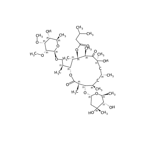 CO[C@@H]1[C@H](O)[C@@H](C)O[C@@H](OC[C@H](C)[C@H]2OC(=O)[C@H](C)[C@@H](O[C@H]3C[C@@](C)(O)[C@@H](O)[C@H](C)O3)[C@H](C)C[C@@H](C)C[C@](C)(O)C(=O)[C@H](C)[C@H](OC(=O)CC(C)C)[C@H]2C)[C@@H]1OC